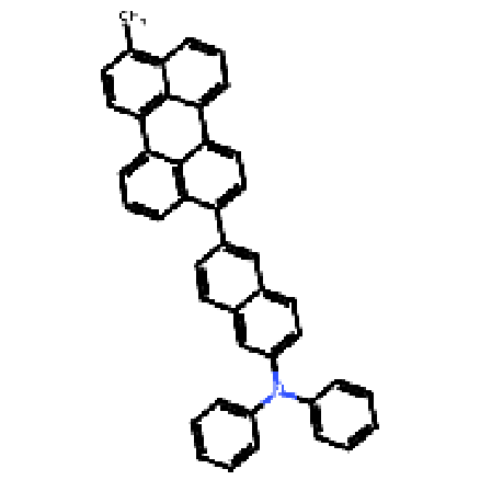 Cc1ccc2c3cccc4c(-c5ccc6cc(N(c7ccccc7)c7ccccc7)ccc6c5)ccc(c5cccc1c25)c43